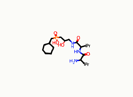 CC(C)C(N)C(=O)NC(C(=O)NC[C@@H](O)CP(=O)(O)CC1CCCCC1)C(C)C